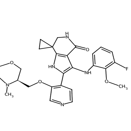 COc1c(F)cccc1Nc1c(-c2ccncc2OC[C@@H]2COCCN2C)[nH]c2c1C(=O)NCC21CC1